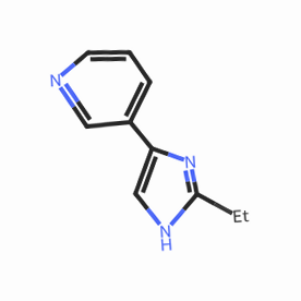 CCc1nc(-c2cccnc2)c[nH]1